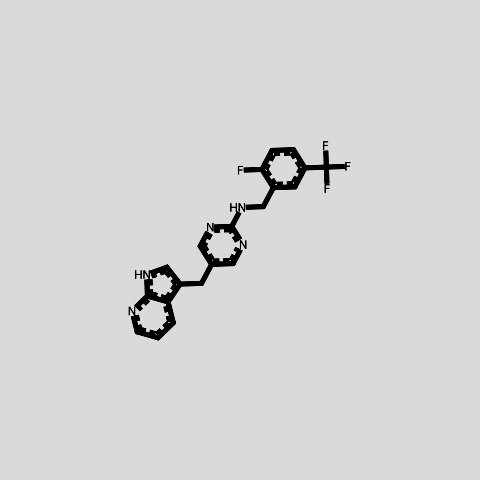 Fc1ccc(C(F)(F)F)cc1CNc1ncc(Cc2c[nH]c3ncccc23)cn1